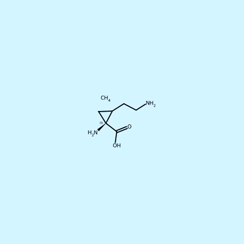 C.NCCC1C[C@@]1(N)C(=O)O